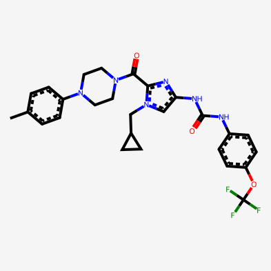 Cc1ccc(N2CCN(C(=O)c3nc(NC(=O)Nc4ccc(OC(F)(F)F)cc4)cn3CC3CC3)CC2)cc1